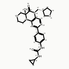 C[C@]12COCCN1c1nc(-c3ccc(NC(=O)NC4CC4)cc3)ncc1N(C[C@@H]1CCOC1)C2=O